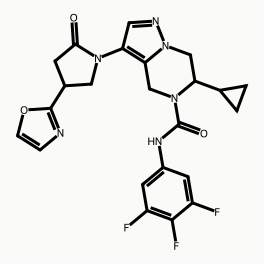 O=C1CC(c2ncco2)CN1c1cnn2c1CN(C(=O)Nc1cc(F)c(F)c(F)c1)C(C1CC1)C2